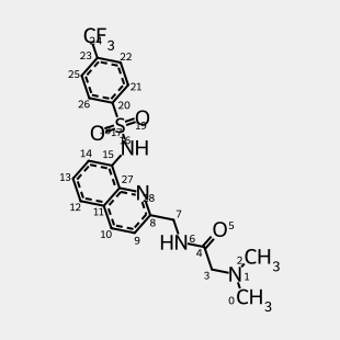 CN(C)CC(=O)NCc1ccc2cccc(NS(=O)(=O)c3ccc(C(F)(F)F)cc3)c2n1